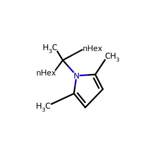 CCCCCCC(C)(CCCCCC)n1c(C)ccc1C